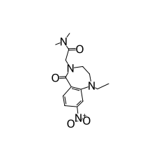 CCN1CCN(CC(=O)N(C)C)C(=O)c2ccc([N+](=O)[O-])cc21